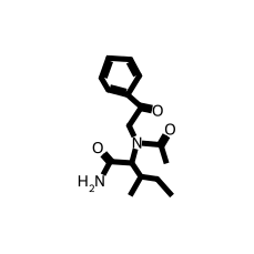 CCC(C)C(C(N)=O)N(CC(=O)c1ccccc1)C(C)=O